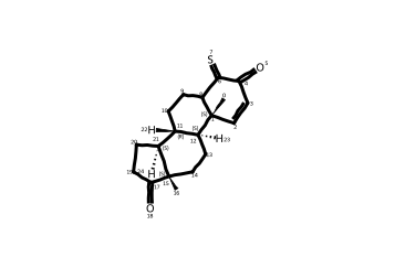 C[C@]12C=CC(=O)C(=S)C1CC[C@@H]1[C@@H]2CC[C@]2(C)C(=O)CC[C@@H]12